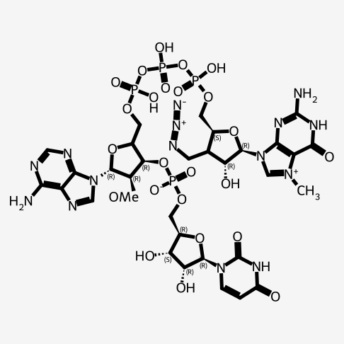 CO[C@@H]1[C@H](OP(=O)([O-])OC[C@H]2O[C@@H](n3ccc(=O)[nH]c3=O)[C@H](O)[C@@H]2O)C(COP(=O)(O)OP(=O)(O)OP(=O)(O)OC[C@H]2O[C@@H](n3c[n+](C)c4c(=O)[nH]c(N)nc43)[C@H](O)C2CN=[N+]=[N-])O[C@H]1n1cnc2c(N)ncnc21